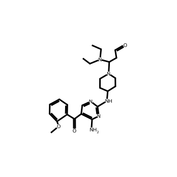 CCN(CC)C(CC=O)N1CCC(Nc2ncc(C(=O)c3ccccc3OC)c(N)n2)CC1